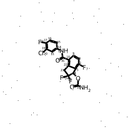 NC(=O)OC1c2c(F)ccc(C(=O)Nc3ccc(F)c(Cl)c3)c2CC1(F)F